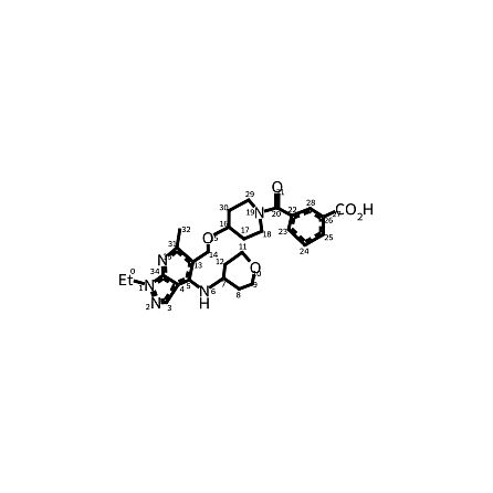 CCn1ncc2c(NC3CCOCC3)c(COC3CCN(C(=O)c4cccc(C(=O)O)c4)CC3)c(C)nc21